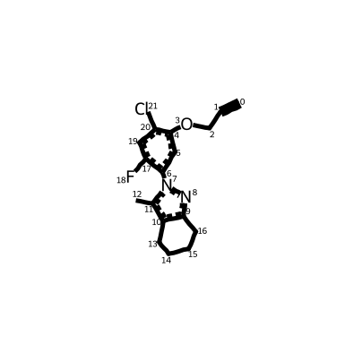 C#CCOc1cc(-n2nc3c(c2C)CCCC3)c(F)cc1Cl